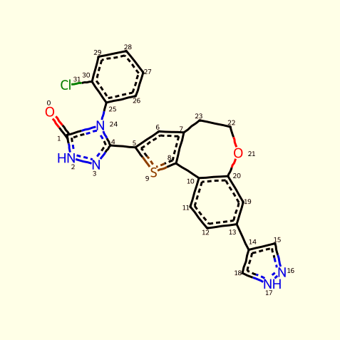 O=c1[nH]nc(-c2cc3c(s2)-c2ccc(-c4cn[nH]c4)cc2OCC3)n1-c1ccccc1Cl